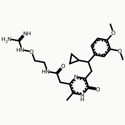 COc1ccc(C(Cc2nc(CC(=O)NCCONC(=N)N)c(C)[nH]c2=O)C2CC2)cc1OC